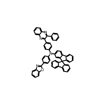 c1ccc(-c2nc3ccccc3nc2-c2ccc(N(c3ccc(-c4nc5ccccc5o4)cc3)c3ccc4c(c3)C3(c5ccccc5-c5ccccc53)c3ccccc3-4)cc2)cc1